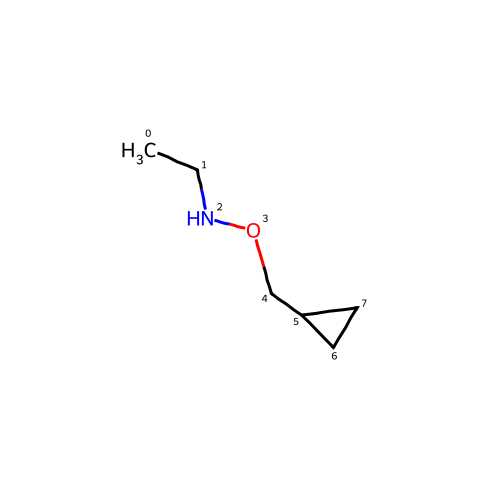 CCNOCC1CC1